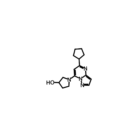 OC1CCN(c2cc(C3CCCC3)nc3ccnn23)C1